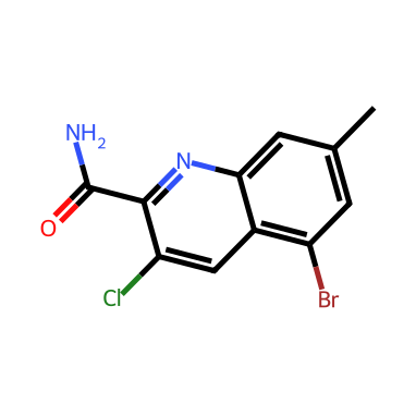 Cc1cc(Br)c2cc(Cl)c(C(N)=O)nc2c1